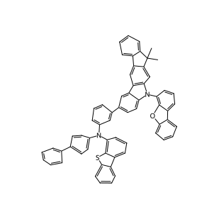 CC1(C)c2ccccc2-c2cc3c4cc(-c5cccc(N(c6ccc(-c7ccccc7)cc6)c6cccc7c6sc6ccccc67)c5)ccc4n(-c4cccc5c4oc4ccccc45)c3cc21